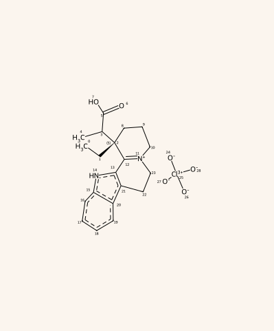 CC[C@@]1(C(C)C(=O)O)CCC[N+]2=C1c1[nH]c3ccccc3c1CC2.[O-][Cl+3]([O-])([O-])[O-]